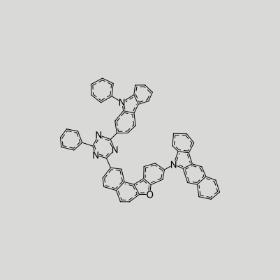 c1ccc(-c2nc(-c3ccc4ccc5oc6cc(-n7c8ccccc8c8cc9ccccc9cc87)ccc6c5c4c3)nc(-c3ccc4c5ccccc5n(-c5ccccc5)c4c3)n2)cc1